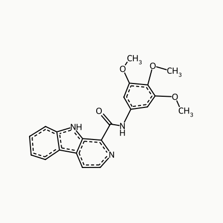 COc1cc(NC(=O)c2nccc3c2[nH]c2ccccc23)cc(OC)c1OC